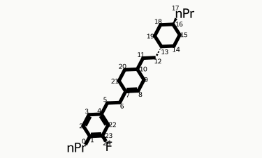 CCCc1ccc(CCC2=CCC(CC[C@H]3CC[C@H](CCC)CC3)CC2)cc1F